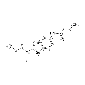 CCCC(=O)Nc1ccc2[se]c(C(=O)OCC)cc2c1